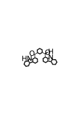 O=C(c1cccc(C(=O)c2cccc3c2[nH]c2ccccc23)c1)c1cccc2c1[nH]c1ccccc12